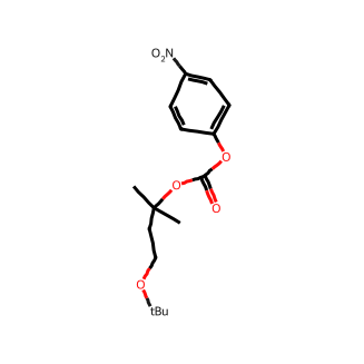 CC(C)(C)OCCC(C)(C)OC(=O)Oc1ccc([N+](=O)[O-])cc1